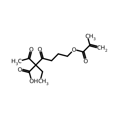 C=C(C)C(=O)OCCCC(=O)C(CC)(C(C)=O)C(=O)O